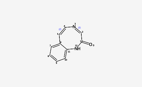 O=C1/C=N\C=C/c2ccccc2N1